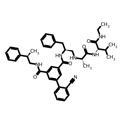 CCNC(=O)[C@@H](NC(=O)[C@H](C)NC[C@H](Cc1ccccc1)NC(=O)c1cc(C(=O)NC[C@H](C)c2ccccc2)cc(-c2ccccc2C#N)c1)C(C)C